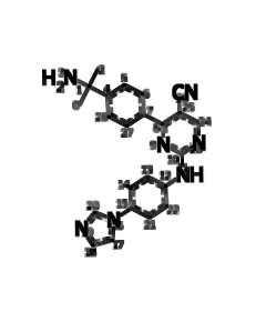 CC(C)(N)c1ccc(-c2nc(Nc3ccc(-n4ccnc4)cc3)ncc2C#N)cc1